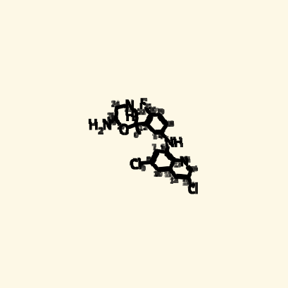 CC1(c2cc(Nc3cc(Cl)cc4cc(Cl)cnc34)ccc2F)CNC[C@H](N)O1